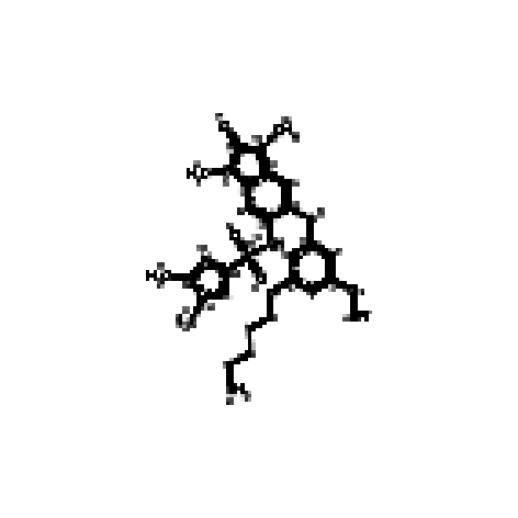 CCCOc1cc(OCCCCN)cc(Oc2cc3c(cc2NS(=O)(=O)c2cn(C)c(C)n2)n(C)c(=O)n3C)c1